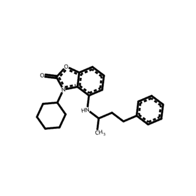 CC(CCc1ccccc1)Nc1cccc2oc(=O)n(C3CCCCC3)c12